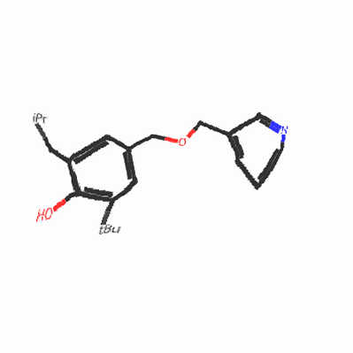 CC(C)Cc1cc(COCc2cccnc2)cc(C(C)(C)C)c1O